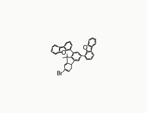 CC1(C)C2=CC(Br)=CCC2c2cc(-c3cccc4c3oc3ccccc34)cc(-c3cccc4c3oc3ccccc34)c21